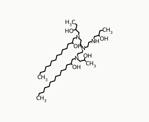 CCCCCCCCCCCCC(O)CN(CCN(CCNCC(O)CC)CCN(CC(O)CC)CC(O)CCCCCCCCCCCC)CC(C)O